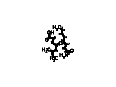 CCC(C)CC(C)CCC(=O)O.CCCCCCCC(N)=O